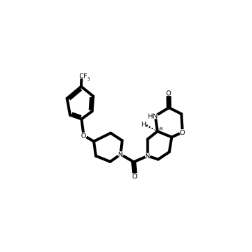 O=C1COC2CCN(C(=O)N3CCC(Oc4ccc(C(F)(F)F)cc4)CC3)C[C@H]2N1